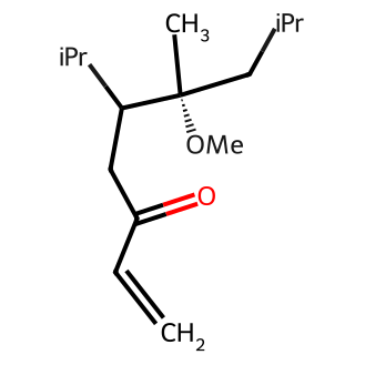 C=CC(=O)CC(C(C)C)[C@@](C)(CC(C)C)OC